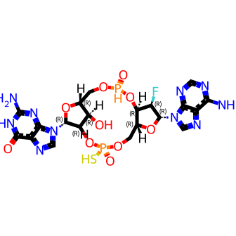 Nc1nc2c(ncn2[C@@H]2O[C@@H]3CO[PH](=O)O[C@H]4[C@@H](F)[C@H](n5cnc6c(N)ncnc65)O[C@@H]4COP(=O)(S)O[C@@H]2[C@@H]3O)c(=O)[nH]1